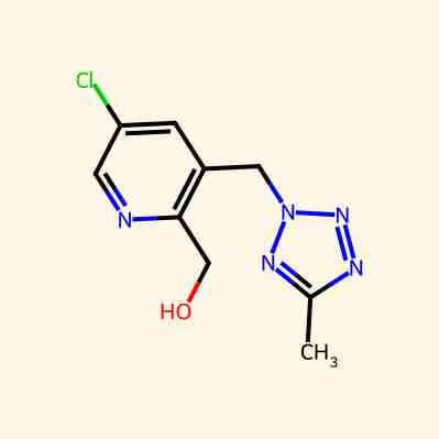 Cc1nnn(Cc2cc(Cl)cnc2CO)n1